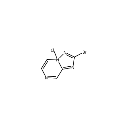 Cl[N+]12C=CN=CC1=NC(Br)=N2